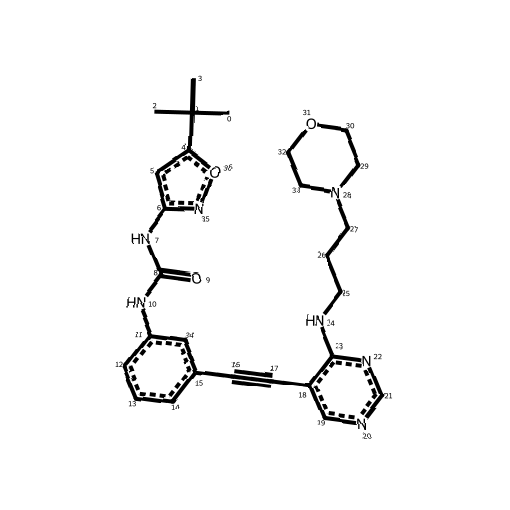 CC(C)(C)c1cc(NC(=O)Nc2cccc(C#Cc3cncnc3NCCCN3CCOCC3)c2)no1